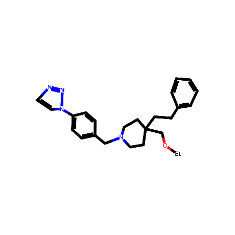 CCOCC1(CCc2ccccc2)CCN(Cc2ccc(-n3ccnn3)cc2)CC1